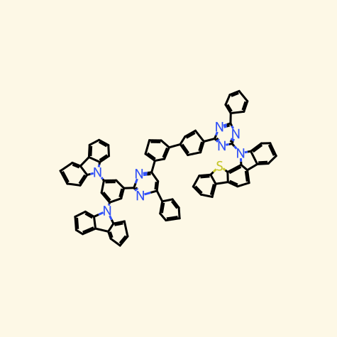 c1ccc(-c2cc(-c3cccc(-c4ccc(-c5nc(-c6ccccc6)nc(-n6c7ccccc7c7ccc8c9ccccc9sc8c76)n5)cc4)c3)nc(-c3cc(-n4c5ccccc5c5ccccc54)cc(-n4c5ccccc5c5ccccc54)c3)n2)cc1